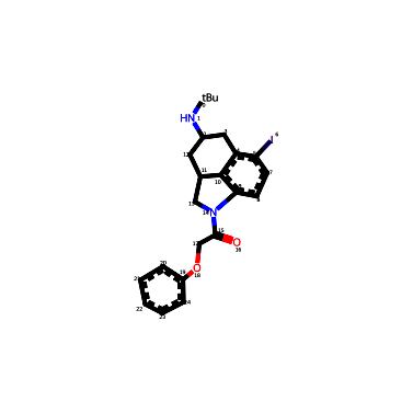 CC(C)(C)NC1Cc2c(I)ccc3c2C(C1)CN3C(=O)COc1ccccc1